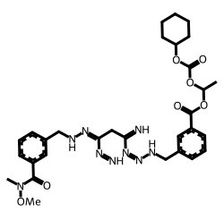 CON(C)C(=O)c1cccc(CN/N=C(/CC(=N)/N=N\NCc2cccc(C(=O)OC(C)OC(=O)OC3CCCCC3)c2)N=N)c1